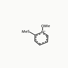 CO[n+]1ccccc1SC